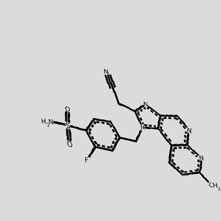 Cc1ccc2c(ncc3nc(CC#N)n(Cc4ccc(S(N)(=O)=O)c(F)c4)c32)n1